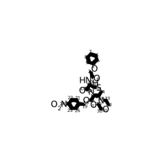 O=C(COc1ccccc1)NC1C(=O)N2C(C(=O)OCc3ccc([N+](=O)[O-])cc3)=C(N3CCOCC3)CS[C@H]12